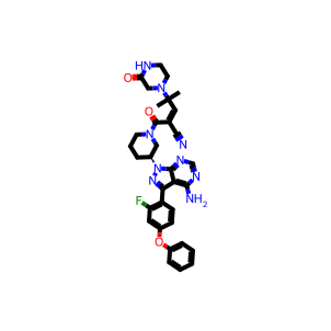 CC(C)(/C=C(/C#N)C(=O)N1CCC[C@@H](n2nc(-c3ccc(Oc4ccccc4)cc3F)c3c(N)ncnc32)C1)N1CCNC(=O)C1